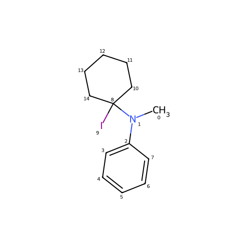 CN(c1ccccc1)C1(I)CCCCC1